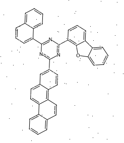 c1ccc2c(-c3nc(-c4ccc5c(ccc6c7ccccc7ccc56)c4)nc(-c4cccc5c4oc4ccccc45)n3)cccc2c1